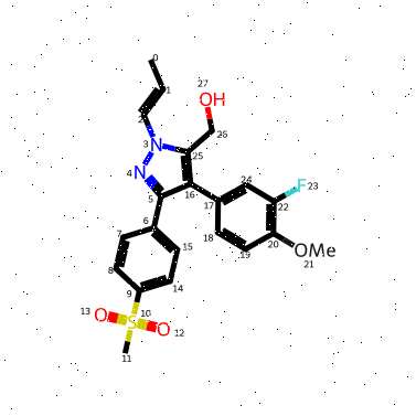 CC=Cn1nc(-c2ccc(S(C)(=O)=O)cc2)c(-c2ccc(OC)c(F)c2)c1CO